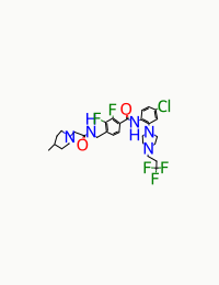 CC1CCN(CC(=O)NCc2ccc(C(=O)Nc3ccc(Cl)cc3N3CCN(CCC(F)(F)F)CC3)c(F)c2F)CC1